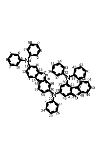 c1ccc(N(c2ccccc2)c2ccc3c(c2)sc2cc(N(c4ccccc4)c4cc(N(c5ccccc5)c5ccccc5)c5c(c4)sc4ccccc45)ccc23)cc1